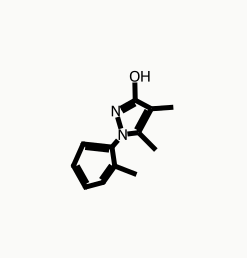 Cc1ccccc1-n1nc(O)c(C)c1C